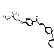 CN(C)CCOc1ccc(C(=O)C=Cc2ccc(Oc3ccccc3)cc2)cc1